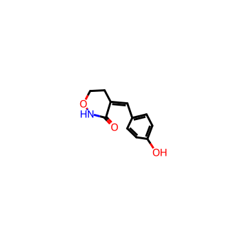 O=C1NOCCC1=Cc1ccc(O)cc1